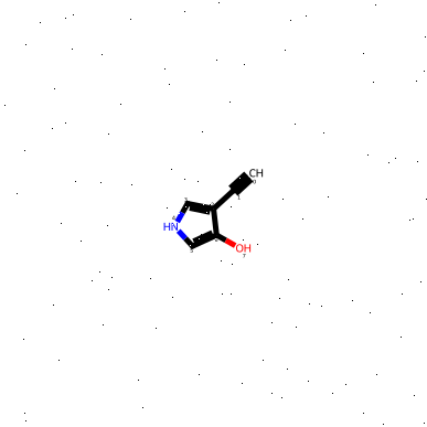 C#Cc1c[nH]cc1O